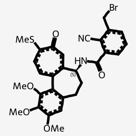 COc1cc2c(c(OC)c1OC)-c1ccc(SC)c(=O)cc1[C@@H](NC(=O)c1cccc(CBr)c1C#N)CC2